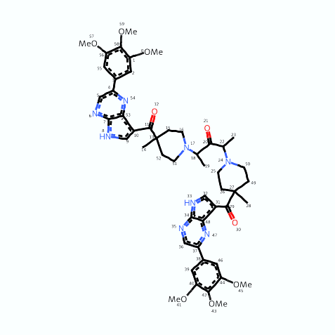 COc1cc(-c2cnc3[nH]cc(C(=O)C4(C)CCN(C(C)C(=O)C(C)N5CCC(C)(C(=O)c6c[nH]c7ncc(-c8cc(OC)c(OC)c(OC)c8)nc67)CC5)CC4)c3n2)cc(OC)c1OC